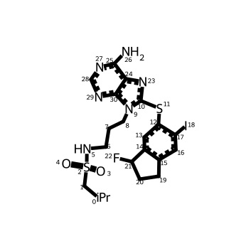 CC(C)CS(=O)(=O)NCCCn1c(Sc2cc3c(cc2I)CCC3F)nc2c(N)ncnc21